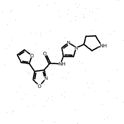 O=C(Nc1cnn(C2CCNC2)c1)c1nocc1-c1ccco1